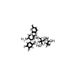 Cc1ccc2nc3n(c2n1)C[C@H](N)[C@@H](c1cc(F)c(F)cc1F)C3.NC(CO)(CO)CO.O=C(O)C(F)(F)F